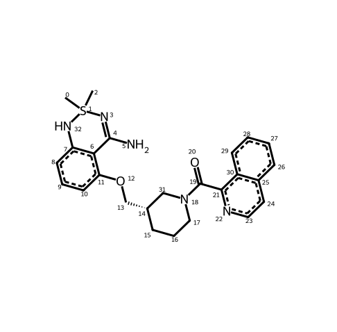 CS1(C)N=C(N)c2c(cccc2OC[C@H]2CCCN(C(=O)c3nccc4ccccc34)C2)N1